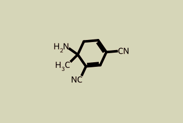 CC1(N)CC=C(C#N)C=C1C#N